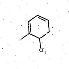 CC1=CC=CCC1C(F)(F)F